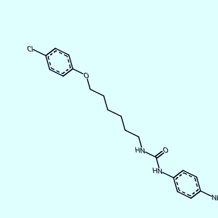 Nc1ccc(NC(=O)NCCCCCCOc2ccc(Cl)cc2)cc1